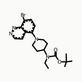 CCN(C(=O)OC(C)(C)C)C1CCN(c2ccc(Br)c3nnccc23)CC1